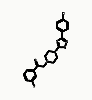 O=C(CN1CCN(c2nc(-c3ccc(Cl)cc3)ns2)CC1)c1cccc(F)c1